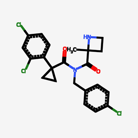 CC1(C(=O)N(Cc2ccc(Cl)cc2)C(=O)C2(c3ccc(Cl)cc3Cl)CC2)CCN1